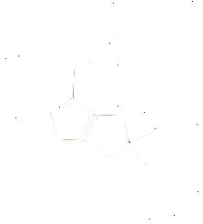 CCc1csc2c1SC(C)(C)C2